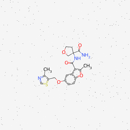 Cc1ncsc1COc1ccc2oc(C)c(C(=O)NC3(C(N)=O)CCOC3)c2c1